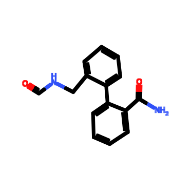 NC(=O)c1ccccc1-c1ccccc1CNC=O